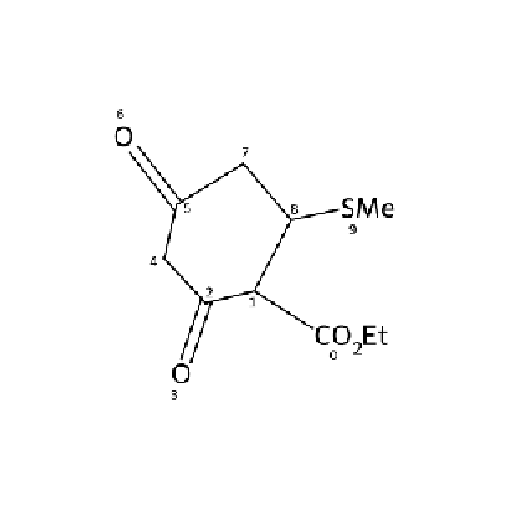 CCOC(=O)C1C(=O)CC(=O)CC1SC